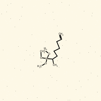 C=CCCCCC(C)[Si](OC)(OC)OC